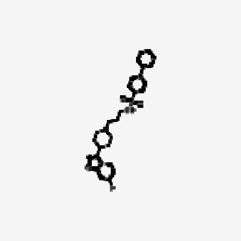 O=S(=O)(NCCCN1CCC(c2noc3cc(F)ccc23)CC1)c1ccc(-c2ccccc2)cc1